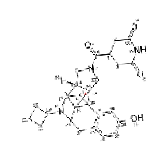 O=C1CC(C(=O)N2C[C@H]3CC45CCC2C3C42CCN(C3CCC3)C5Cc3ccc(O)cc32)CC(=O)N1